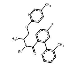 CCN(C(=O)c1ccc(F)cc1-c1ncccc1C)C(C)COc1ccc(C(F)(F)F)cn1